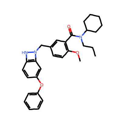 CCCN(C(=O)c1cc(Cn2[nH]c3ccc(Oc4ccccc4)cc32)ccc1OC)C1CCCCC1